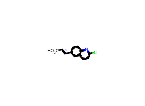 O=C(O)/C=C/c1ccc2nc(Cl)ccc2c1